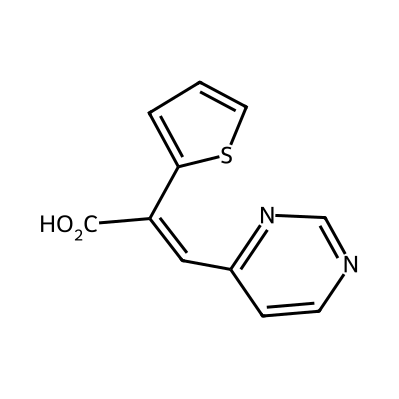 O=C(O)C(=Cc1ccncn1)c1cccs1